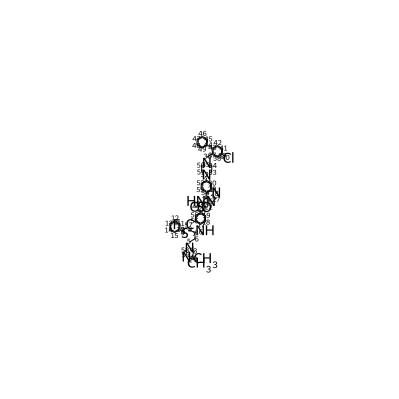 CC1(C)CN(CCC(CSc2ccccc2)Nc2ccc(S(=O)(=O)Nc3ncnc4cc(N5CCN(Cc6cc(Cl)ccc6-c6ccccc6)CC5)ccc34)cc2C(F)(F)F)C=N1